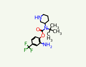 CC(C)(C)N(C(=O)Oc1ccc(C(F)(F)F)cc1N)C1CCCNC1